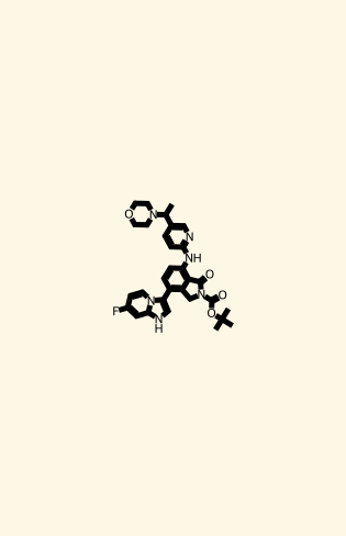 CC(c1ccc(Nc2ccc(C3=CNC4C=C(F)C=CN34)c3c2C(=O)N(C(=O)OC(C)(C)C)C3)nc1)N1CCOCC1